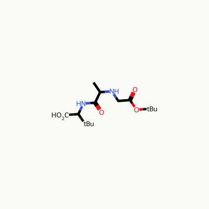 CC(NCC(=O)OC(C)(C)C)C(=O)NC(C(=O)O)C(C)(C)C